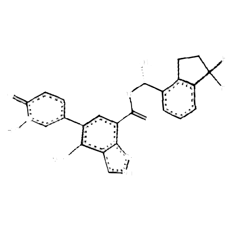 COc1c(-c2ccc(=O)n(C)c2)cc(C(=O)N[C@H](C)c2cccc3c2CCC3(F)F)c2n[nH]cc12